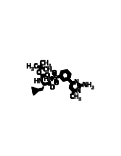 Cc1cc(-c2cccc(S(=O)(=O)NC(=O)[C@H](CC3CC3)NC(=O)OC(C)(C)C)c2)nc(N)n1